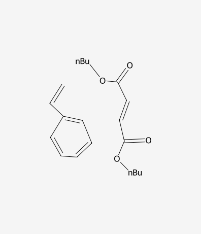 C=Cc1ccccc1.CCCCOC(=O)C=CC(=O)OCCCC